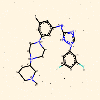 Cc1cc(Nc2ncn(-c3cc(F)cc(F)c3)n2)cc(N2CCN(C3CCCN(C)C3)CC2)c1